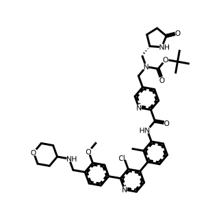 COc1cc(-c2nccc(-c3cccc(NC(=O)c4ccc(CN(C[C@@H]5CCC(=O)N5)C(=O)OC(C)(C)C)cn4)c3C)c2Cl)ccc1CNC1CCOCC1